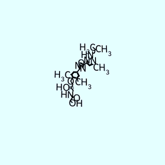 Cc1cc(-c2nc(-c3cc(C)c(OC[C@H](O)CNC(=O)CO)c(C)c3)no2)nc(NCC(C)C)n1